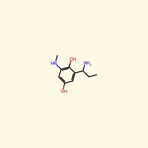 CCC(N)c1cc(O)cc(NC)c1O